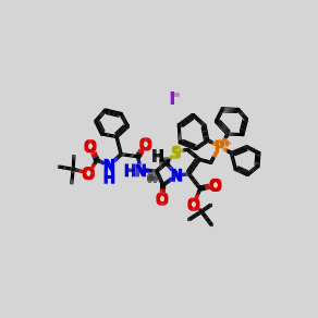 CC(C)(C)OC(=O)NC(C(=O)N[C@@H]1C(=O)N2C(C(=O)OC(C)(C)C)=C(C[P+](c3ccccc3)(c3ccccc3)c3ccccc3)CS[C@H]12)c1ccccc1.[I-]